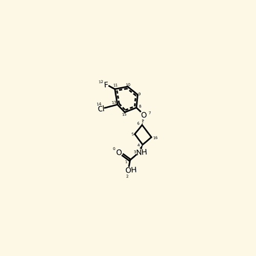 O=C(O)N[C@H]1C[C@H](Oc2ccc(F)c(Cl)c2)C1